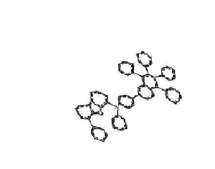 c1ccc(-c2c(-c3ccccc3)c(-c3ccccc3)c3cc(-c4ccc(N(c5ccccc5)c5cccc6c5oc5c(-c7ccccc7)cccc56)cc4)ccc3c2-c2ccccc2)cc1